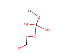 CCOC(O)(O)OCC[O]